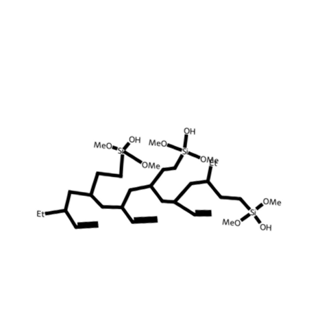 C=CC(CC)CC(CC[Si](O)(OC)OC)CC(C=C)CC(CC[Si](O)(OC)OC)CC(C=C)CC(CC)CC[Si](O)(OC)OC